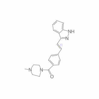 CN1CCN(C(=O)c2ccc(/C=C/c3n[nH]c4ccccc34)cc2)CC1